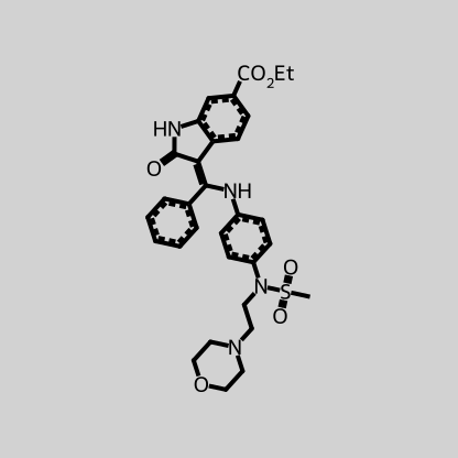 CCOC(=O)c1ccc2c(c1)NC(=O)C2=C(Nc1ccc(N(CCN2CCOCC2)S(C)(=O)=O)cc1)c1ccccc1